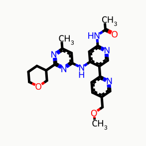 COCc1ccc(-c2cnc(NC(C)=O)cc2Nc2cc(C)nc(C3CCCOC3)n2)nc1